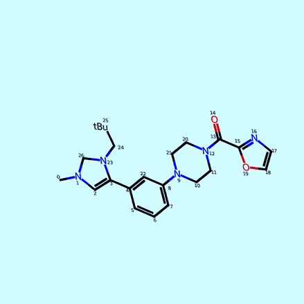 CN1C=C(c2cccc(N3CCN(C(=O)c4ncco4)CC3)c2)N(CC(C)(C)C)C1